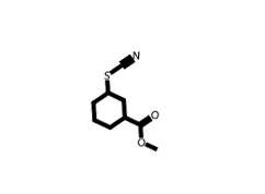 COC(=O)C1CCCC(SC#N)C1